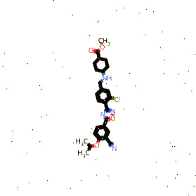 COC(=O)C1CCC(NCc2ccc(-c3noc(-c4ccc(OC(C)C)c(C#N)c4)n3)c(Cl)c2)CC1